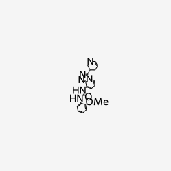 COc1ccccc1NC(=O)Nc1cccn2c(-c3cccnc3)nnc12